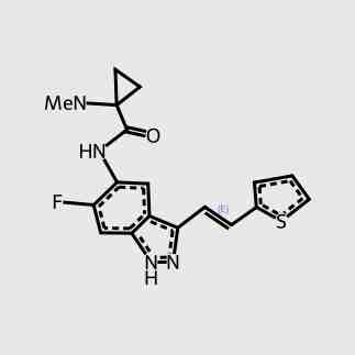 CNC1(C(=O)Nc2cc3c(/C=C/c4cccs4)n[nH]c3cc2F)CC1